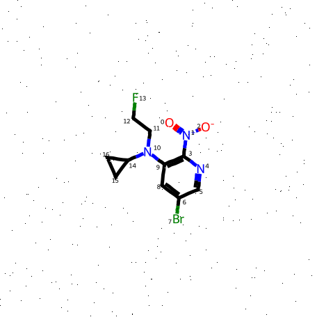 O=[N+]([O-])c1ncc(Br)cc1N(CCF)C1CC1